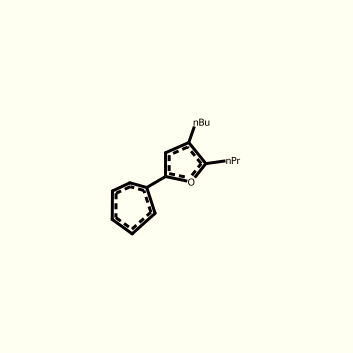 CCCCc1cc(-c2ccccc2)oc1CCC